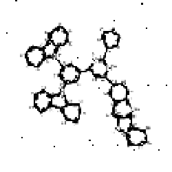 c1ccc(-c2nc(-c3cc(-n4c5ccccc5c5ccccc54)cc(-n4c5ccccc5c5ccccc54)c3)cc(-c3ccc4nc5c(cc4c3)sc3ccccc35)n2)cc1